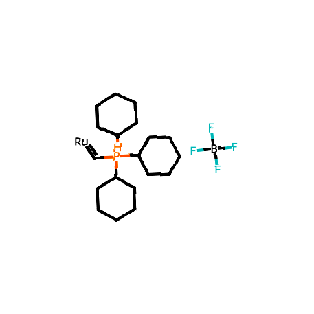 F[B-](F)(F)F.[Ru]=[CH][PH](C1CCCCC1)(C1CCCCC1)C1CCCCC1